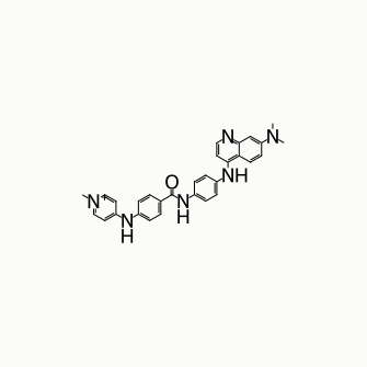 CN(C)c1ccc2c(Nc3ccc(NC(=O)c4ccc(Nc5cc[n+](C)cc5)cc4)cc3)ccnc2c1